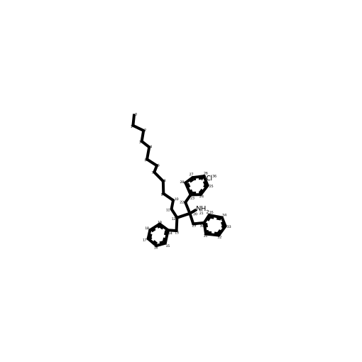 CCCCCCCCCCCCC(Cc1ccccc1)C(N)(Cc1ccccc1)Cc1ccccc1.Cl